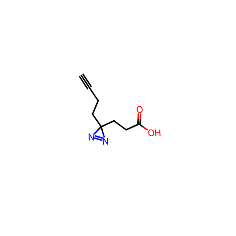 C#CCCC1(CCC(=O)O)N=N1